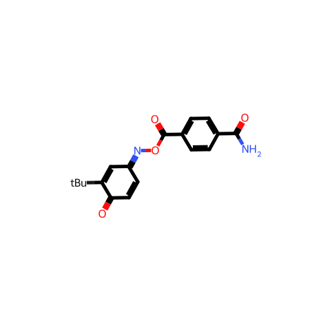 CC(C)(C)C1=C/C(=N/OC(=O)c2ccc(C(N)=O)cc2)C=CC1=O